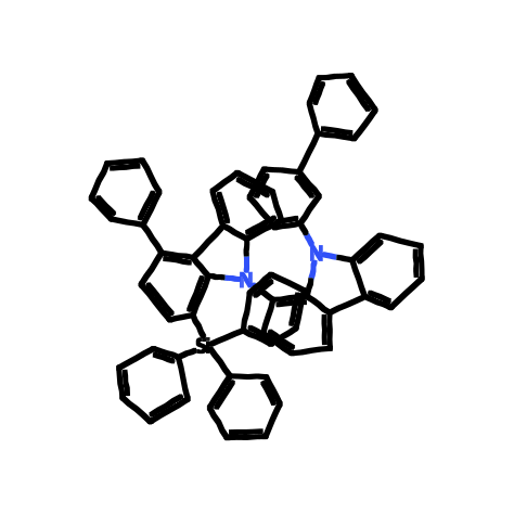 c1ccc(-c2cccc(-n3c4ccccc4c4cccc(-n5c6ccccc6c6c(-c7ccccc7)ccc([Si](c7ccccc7)(c7ccccc7)c7ccccc7)c65)c43)c2)cc1